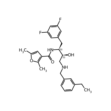 CCc1cccc(CNC[C@H](O)[C@H](Cc2cc(F)cc(F)c2)NC(=O)c2cc(C)oc2C)c1